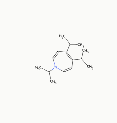 CC(C)C1=C(C(C)C)C=CN(C(C)C)C=C1